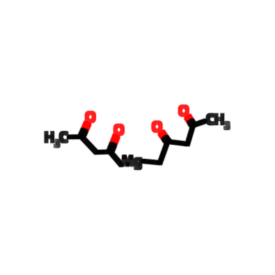 CC(=O)CC(=O)[CH2][Mg][CH2]C(=O)CC(C)=O